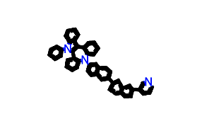 c1ccc(-n2c3c(c4ccccc42)-c2ccccc2N(c2ccc4cc(-c5ccc6ccc(-c7cccnc7)cc6c5)ccc4c2)c2ccccc2-3)cc1